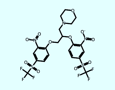 O=[N+]([O-])c1cc(S(=O)(=O)C(F)(F)F)ccc1OCC(CN1CCOCC1)Oc1ccc(S(=O)(=O)C(F)(F)F)cc1[N+](=O)[O-]